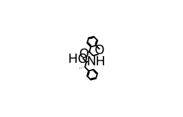 C[C@@H](c1ccccc1)C(O)NC1COc2ccccc2C1=O